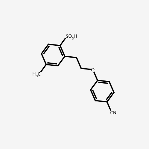 Cc1ccc(S(=O)(=O)O)c(CCOc2ccc(C#N)cc2)c1